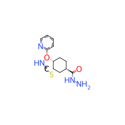 N=C=S.NNC(=O)[C@H]1CC[C@H](Oc2ccccn2)CC1